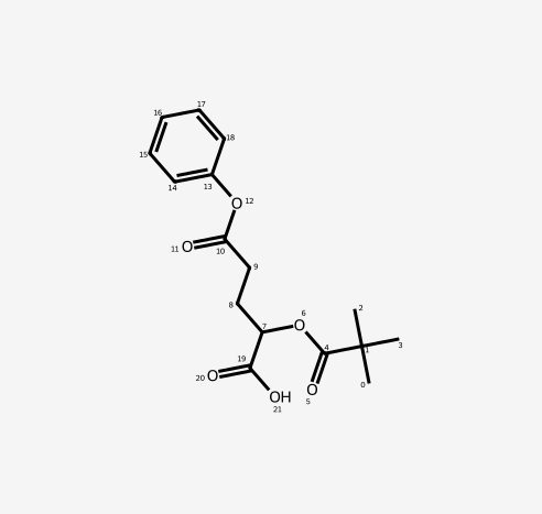 CC(C)(C)C(=O)OC(CCC(=O)Oc1ccccc1)C(=O)O